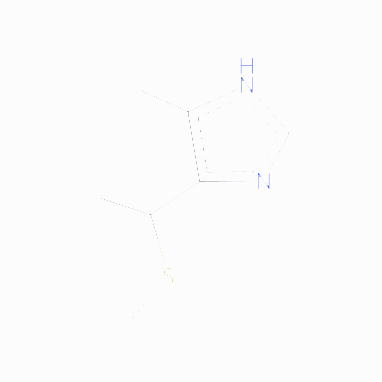 [CH2]C(SC)c1nc[nH]c1C